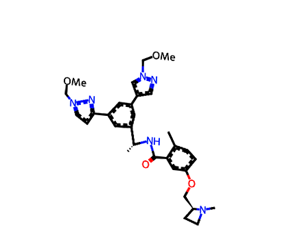 COCn1cc(-c2cc(-c3ccn(COC)n3)cc([C@@H](C)NC(=O)c3cc(OC[C@@H]4CCN4C)ccc3C)c2)cn1